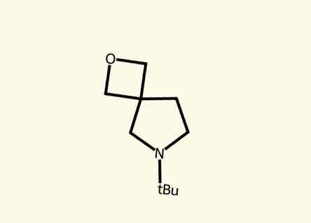 CC(C)(C)N1CCC2(COC2)C1